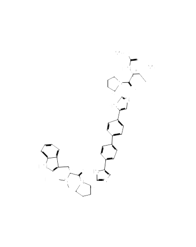 COC(=O)N[C@H](C(=O)N1CCC[C@H]1c1ncc(-c2ccc(-c3ccc(-c4cnc([C@@H]5CCCN5C(=O)[C@H](Cc5c[nH]c6ccccc56)N(C)C(=O)O)[nH]4)cc3)cc2)[nH]1)[C@@H](C)OC